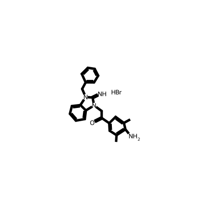 Br.Cc1cc(C(=O)Cn2c(=N)n(Cc3ccccc3)c3ccccc32)cc(C)c1N